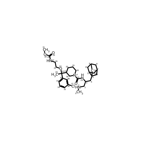 CNCC(CC12CC3CC(CC1C3)C2)NC(=O)N1CCCC(C(C)(OCCNC(=O)OC)c2cccc(Cl)c2)C1